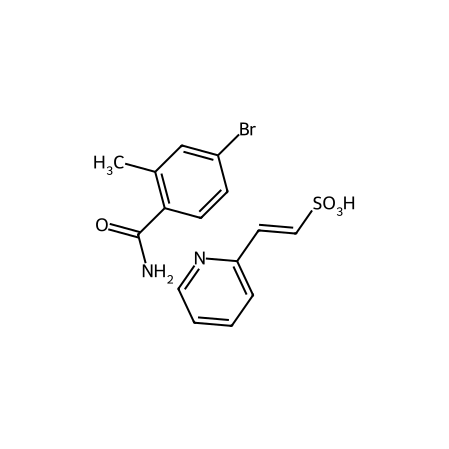 Cc1cc(Br)ccc1C(N)=O.O=S(=O)(O)/C=C/c1ccccn1